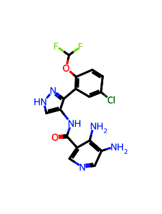 Nc1cncc(C(=O)Nc2c[nH]nc2-c2cc(Cl)ccc2OC(F)F)c1N